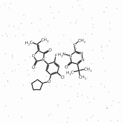 CC(C)=C1OC(=O)N(c2cc(OC3CCCC3)c(Cl)cc2F)C1=O.CSc1nnc(C(C)(C)C)c(=O)n1N